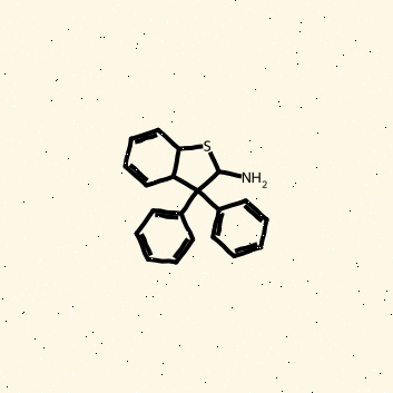 NC1SC2C=CC=CC2C1(c1ccccc1)c1ccccc1